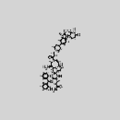 Cn1c(=O)n(C2CCC(=O)NC2=O)c2ccc(C3CCN(CCC(=O)N4CC[C@H]5CC[C@@H](C(=O)N[C@@H](CCC(N)=O)C(=O)NC(c6ccccc6)c6ccccc6)N5C(=O)[C@@H](N)C4)CC3)cc21